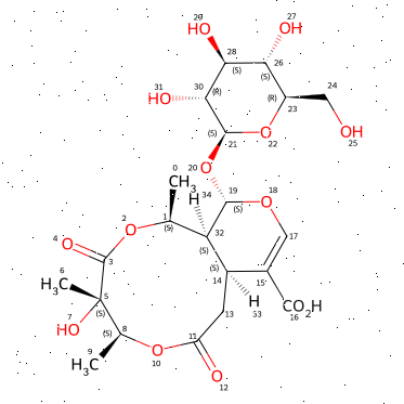 C[C@@H]1OC(=O)[C@@](C)(O)[C@H](C)OC(=O)C[C@@H]2C(C(=O)O)=CO[C@@H](O[C@@H]3O[C@H](CO)[C@@H](O)[C@H](O)[C@H]3O)[C@H]12